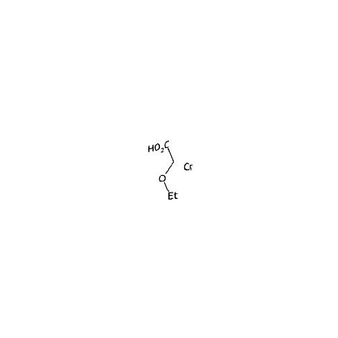 CCOCC(=O)O.[Cr]